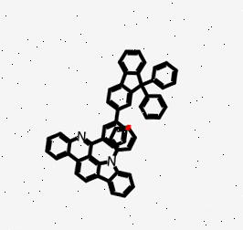 c1ccc(-n2c3ccccc3c3ccc4c5ccccc5nc(-c5cccc(-c6ccc7c(c6)C(c6ccccc6)(c6ccccc6)c6ccccc6-7)c5)c4c32)cc1